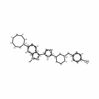 Cn1nc(-c2cnc(C3CCCN(Cc4ccc(O)cc4)C3)s2)c2ccc(N3CCCCCCC3)nc21